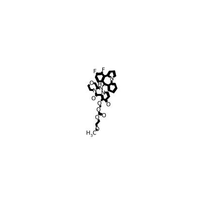 COCCOC(=O)OCOc1c2n(ccc1=O)N([C@@H]1c3ccccc3-n3cccc3-c3c1ccc(F)c3F)[C@@H]1COCCN1C2=O